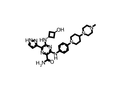 CN1CCN(C2CCN(c3ccc(Nc4nc(N[C@H]5C[C@H](O)C5)c(-c5cc[nH]n5)nc4C(N)=O)cc3)CC2)CC1